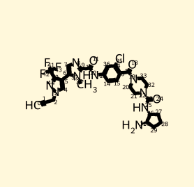 C#CCn1cc(-c2cnc(C(=O)Nc3ccc(C(=O)N4CCN(C(=O)N[C@H]5CCC[C@H]5N)CC4)c(Cl)c3)n2C)c(C(F)(F)F)n1